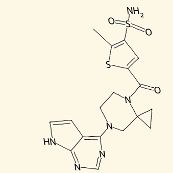 Cc1sc(C(=O)N2CCN(c3ncnc4[nH]ccc34)CC23CC3)cc1S(N)(=O)=O